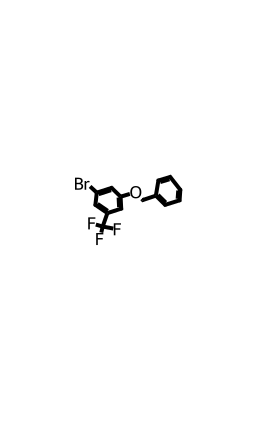 FC(F)(F)c1cc(Br)cc(OCc2ccccc2)c1